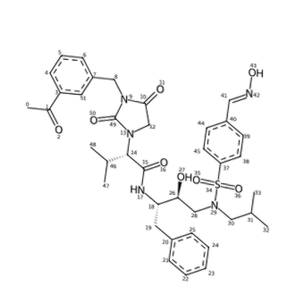 CC(=O)c1cccc(CN2C(=O)CN([C@H](C(=O)N[C@@H](Cc3ccccc3)[C@@H](O)CN(CC(C)C)S(=O)(=O)c3ccc(C=NO)cc3)C(C)C)C2=O)c1